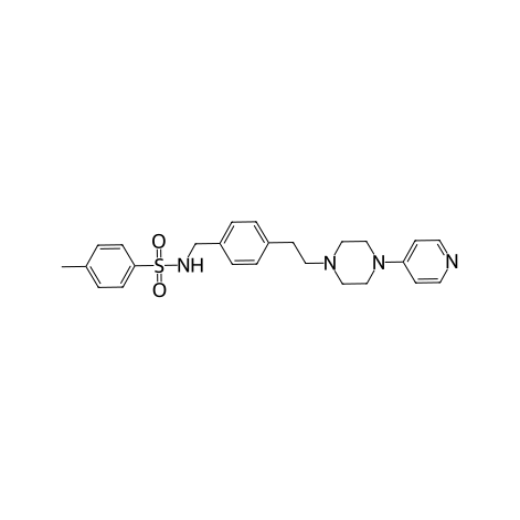 Cc1ccc(S(=O)(=O)NCc2ccc(CCN3CCN(c4ccncc4)CC3)cc2)cc1